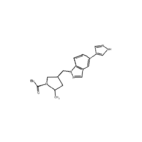 CC1CC(Cn2ncc3cc(-c4cn[nH]c4)ccc32)CN1C(=O)C(C)(C)C